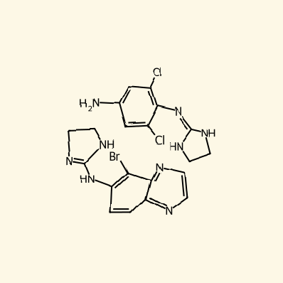 Brc1c(NC2=NCCN2)ccc2nccnc12.Nc1cc(Cl)c(N=C2NCCN2)c(Cl)c1